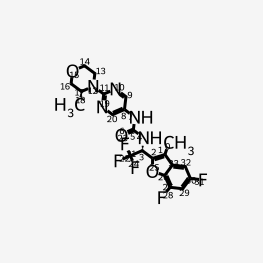 Cc1c([C@@H](NC(=O)Nc2cnc(N3CCOC[C@@H]3C)nc2)C(F)(F)F)oc2c(F)cc(F)cc12